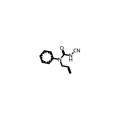 C=CCN(C(=O)NC#N)c1ccccc1